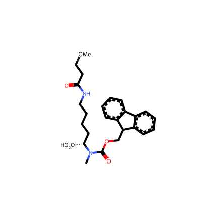 COCCC(=O)NCCCC[C@@H](C(=O)O)N(C)C(=O)OCC1c2ccccc2-c2ccccc21